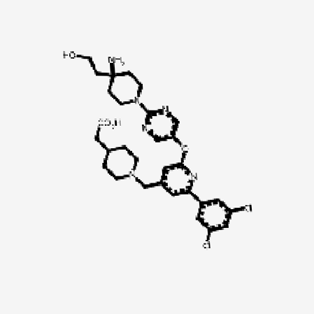 NC1(CCO)CCN(c2ncc(Oc3cc(CN4CCC(CC(=O)O)CC4)cc(-c4cc(Cl)cc(Cl)c4)n3)cn2)CC1